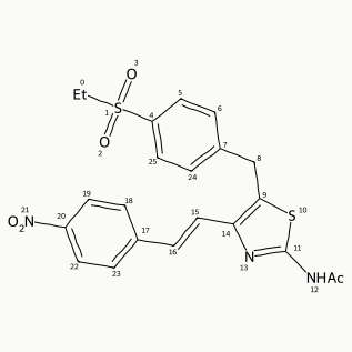 CCS(=O)(=O)c1ccc(Cc2sc(NC(C)=O)nc2C=Cc2ccc([N+](=O)[O-])cc2)cc1